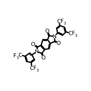 O=c1c2cc3c(=O)n(-c4cc(C(F)(F)F)cc(C(F)(F)F)c4)c(=O)c3cc2c(=O)n1-c1cc(C(F)(F)F)cc(C(F)(F)F)c1